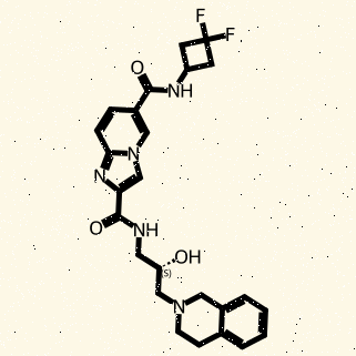 O=C(NC1CC(F)(F)C1)c1ccc2nc(C(=O)NC[C@H](O)CN3CCc4ccccc4C3)cn2c1